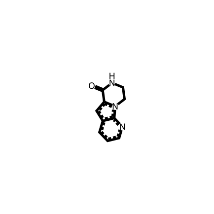 O=C1NCCn2c1cc1cccnc12